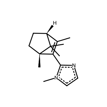 CC1=C(c2nccn2C)[C@]2(C)CC[C@H]1C2(C)C